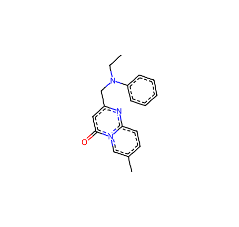 CCN(Cc1cc(=O)n2cc(C)ccc2n1)c1ccccc1